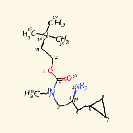 CN(C[C@@H](N)CC1CC1)C(=O)OCC[Si](C)(C)C